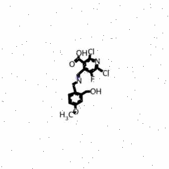 COc1ccc(C/N=C/c2c(F)c(Cl)nc(Cl)c2C(=O)O)c(CO)c1